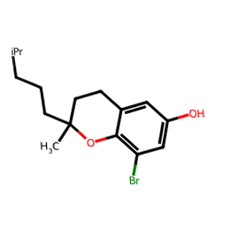 CC(C)CCCC1(C)CCc2cc(O)cc(Br)c2O1